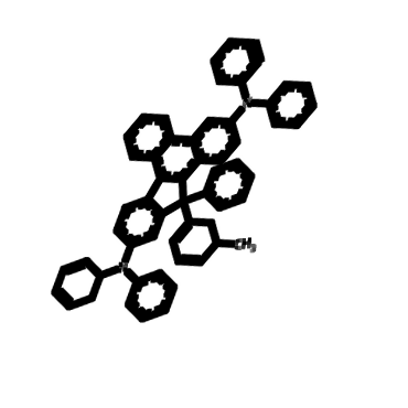 CC1C=CC=C(C2(c3ccccc3)c3cc(N(c4ccccc4)C4C=CC=CC4)ccc3-c3c2c2ccc(N(c4c#cccc4)c4ccccc4)cc2c2ccccc32)C1